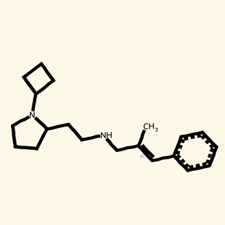 C/C(=C\c1ccccc1)CNCCC1CCCN1C1CCC1